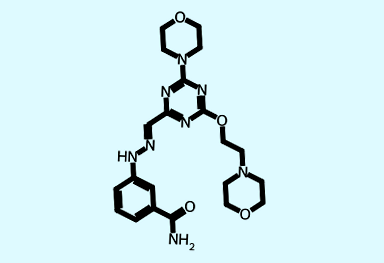 NC(=O)c1cccc(NN=Cc2nc(OCCN3CCOCC3)nc(N3CCOCC3)n2)c1